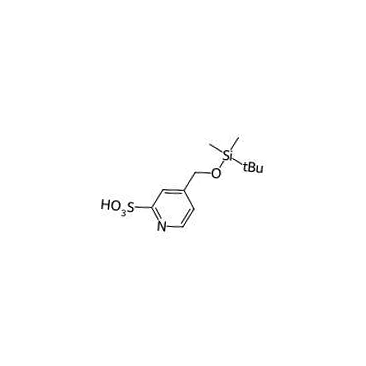 CC(C)(C)[Si](C)(C)OCc1ccnc(S(=O)(=O)O)c1